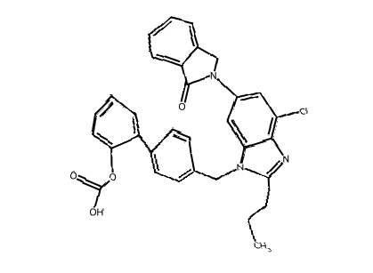 CCCc1nc2c(Cl)cc(N3Cc4ccccc4C3=O)cc2n1Cc1ccc(-c2ccccc2OC(=O)O)cc1